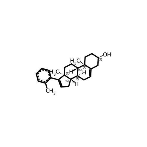 Cc1ccccc1C1=CC[C@H]2[C@@H]3CC=C4C[C@@H](O)CC[C@]4(C)[C@H]3CC[C@]12C